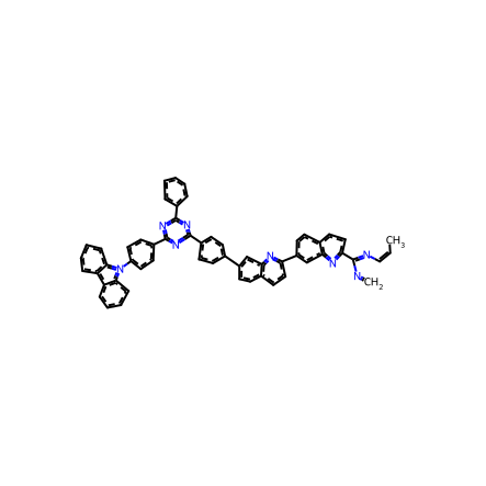 C=N/C(=N\C=C/C)c1ccc2ccc(-c3ccc4ccc(-c5ccc(-c6nc(-c7ccccc7)nc(-c7ccc(-n8c9ccccc9c9ccccc98)cc7)n6)cc5)cc4n3)cc2n1